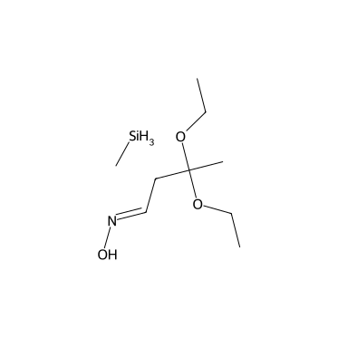 CCOC(C)(CC=NO)OCC.C[SiH3]